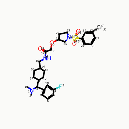 CN(C)C(c1cccc(F)c1)C1CCC(CNC(=O)COC2CCN(S(=O)(=O)c3cccc(C(F)(F)F)c3)C2)CC1